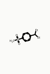 CCC(CC)c1ccc(S(C)(=O)=O)cc1